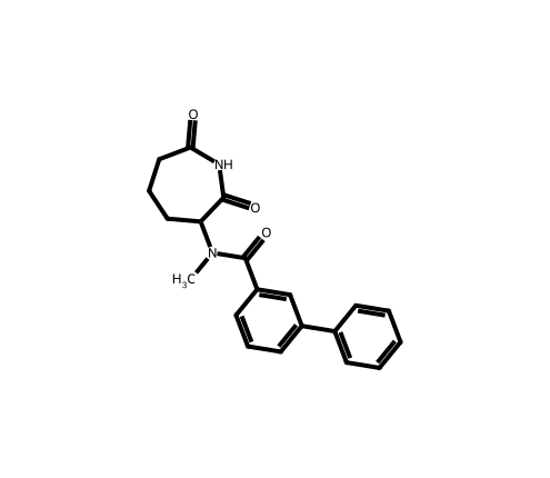 CN(C(=O)c1cccc(-c2ccccc2)c1)C1CCCC(=O)NC1=O